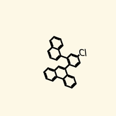 Clc1ccc(-c2cc3ccccc3c3ccccc23)c(-c2cccc3ccccc23)c1